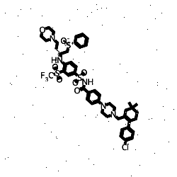 CC1(C)CCC(c2ccc(Cl)cc2)=C(CN2CCN(c3ccc(C(=O)NS(=O)(=O)c4ccc(N[C@H](CCN5CCOCC5)C[S@@+]([O-])c5ccccc5)c(S(=O)(=O)C(F)(F)F)c4)cc3)CC2)C1